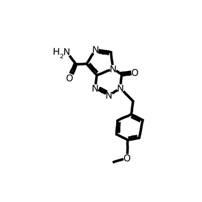 COc1ccc(Cn2nnc3c(C(N)=O)ncn3c2=O)cc1